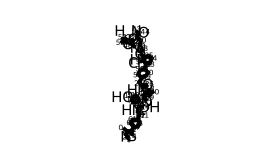 Cc1ncsc1-c1ccc([C@H](C)NC(O)[C@@H]2C[C@@H](O)CN2C(=O)[C@@H](NC(=O)CC2CCC(c3cccc(OC[C@H](CCC(N)=O)NC(=O)OC(C)(C)C)c3Cl)CC2)C(C)(C)C)cc1